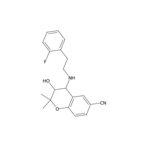 CC1(C)Oc2ccc(C#N)cc2C(NCCc2ccccc2F)C1O